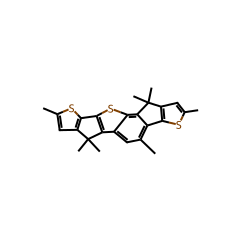 Cc1cc2c(s1)-c1sc3c4c(c(C)cc3c1C2(C)C)-c1sc(C)cc1C4(C)C